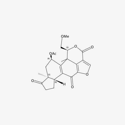 COC[C@H]1OC(=O)c2coc3c2C1(C)C1=C(C3=O)[C@@H]2CCC(=O)[C@@]2(C)C[C@H]1OC(C)=O